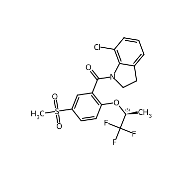 C[C@H](Oc1ccc(S(C)(=O)=O)cc1C(=O)N1CCc2cccc(Cl)c21)C(F)(F)F